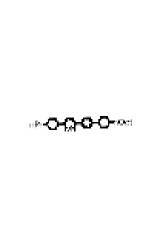 CCCCCCCCC1CCC(c2ccc(-c3ccc(C4CCC(CCC)CC4)nn3)cc2)CC1